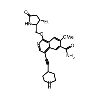 CC[C@@H]1CC(=O)N[C@@H]1COc1ncc(C#CC2CCNCC2)c2cc(C(N)=O)c(OC)cc12